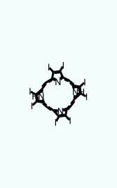 IC1=C(I)c2cc3[nH]c(cc4nc(cc5[nH]c(cc1n2)c(I)c5I)C(I)=C4I)c(I)c3I